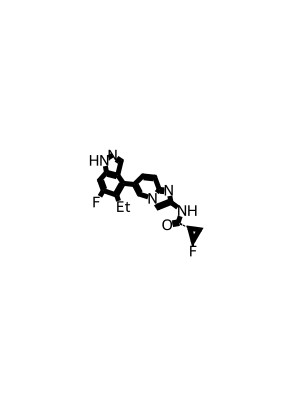 CCc1c(F)cc2[nH]ncc2c1-c1ccc2nc(NC(=O)[C@@H]3C[C@@H]3F)cn2c1